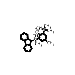 COc1c([Si](C)(C)C)cc(C)cc1[Si](C)(C)C1c2ccccc2-c2ccccc21